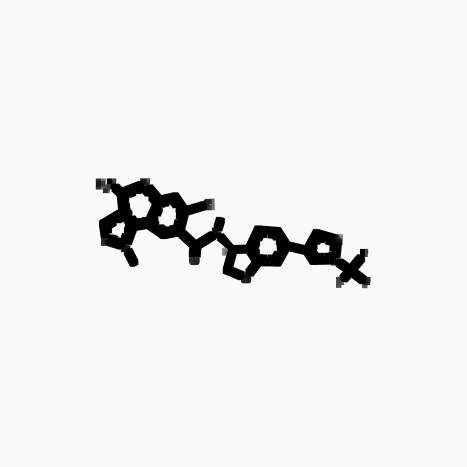 CN(C(=O)c1cc2c(cc1Cl)nc(N)c1cnn(C)c12)[C@@H]1COc2cc(-c3cnn(C(F)(F)F)c3)ccc21